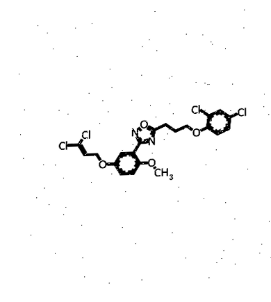 COc1ccc(OCC=C(Cl)Cl)cc1-c1noc(CCCOc2ccc(Cl)cc2Cl)n1